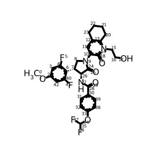 COc1cc(F)c([C@@H]2CN(c3cc4c(n(CCO)c3=O)CCCC4)C(=O)[C@H]2NC(=O)c2ccc(OC(F)F)cc2)c(F)c1